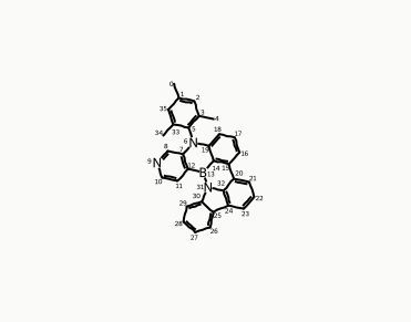 Cc1cc(C)c(N2c3cnccc3B3c4c(cccc42)-c2cccc4c5ccccc5n3c24)c(C)c1